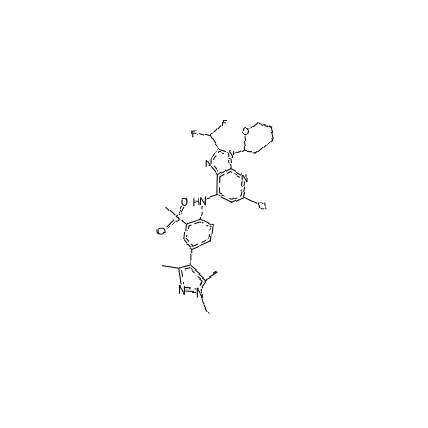 Cc1nn(C)c(C)c1-c1ccc(Nc2cc(Cl)nc3c2nc(C(F)F)n3C2CCCCO2)c(S(C)(=O)=O)c1